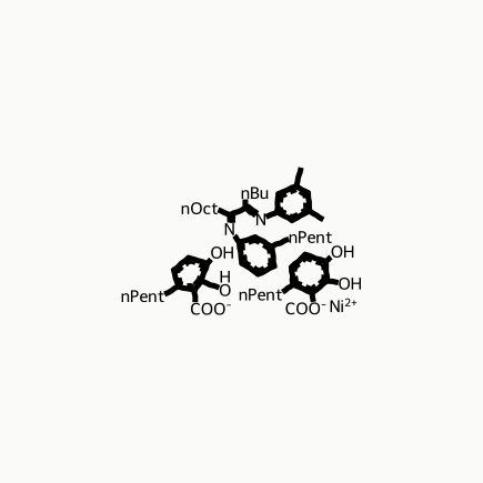 CCCCCCCCC(=Nc1cccc(CCCCC)c1)C(CCCC)=Nc1cc(C)cc(C)c1.CCCCCc1ccc(O)c(O)c1C(=O)[O-].CCCCCc1ccc(O)c(O)c1C(=O)[O-].[Ni+2]